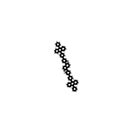 c1ccc(-c2c3ccccc3c(-c3ccc(-c4ccc5c(c4)sc4ccc6c(ccc7sc8cc(-c9ccc(-c%10c%11ccccc%11c(-c%11ccccc%11)c%11ccccc%10%11)cc9)ccc8c76)c45)cc3)c3ccccc23)cc1